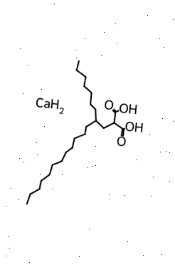 CCCCCCCCCCCCC(CCCCCCC)CC(C(=O)O)C(=O)O.[CaH2]